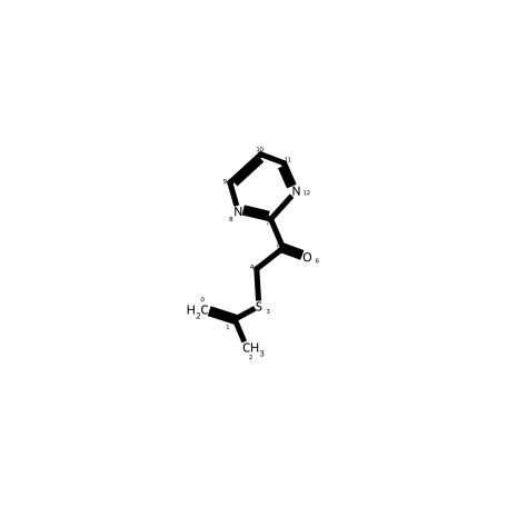 C=C(C)SCC(=O)c1ncccn1